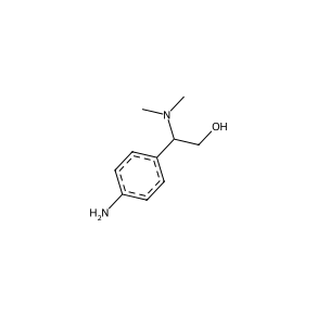 CN(C)C(CO)c1ccc(N)cc1